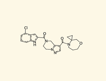 O=C(c1cc2c(Cl)cccc2[nH]1)N1CCn2ncc(C(=O)N3CCCOCC34CC4)c2C1